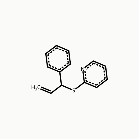 C=CC(Sc1ccccn1)c1ccccc1